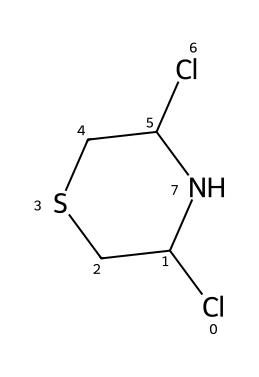 ClC1CSCC(Cl)N1